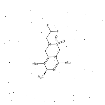 C[C@@H]1N=C(C(C)(C)C)N2CS(=O)(=O)N(CC(F)F)CC2=C1C(C)(C)C